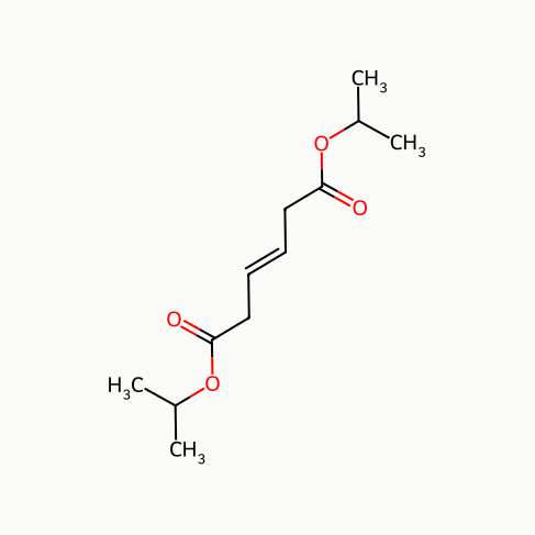 CC(C)OC(=O)C/C=C/CC(=O)OC(C)C